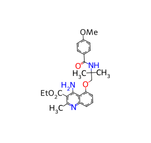 CCOC(=O)c1c(C)nc2cccc(OCC(C)(C)NC(=O)c3ccc(OC)cc3)c2c1N